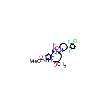 COC(=O)Nc1ccc2c(c1)NC(=O)[C@H](C)CCC[C@H](N1CC[C@@H](c3c(F)ccc(Cl)c3F)CCCC1=O)c1nc-2c[nH]1